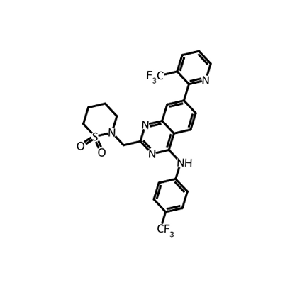 O=S1(=O)CCCCN1Cc1nc(Nc2ccc(C(F)(F)F)cc2)c2ccc(-c3ncccc3C(F)(F)F)cc2n1